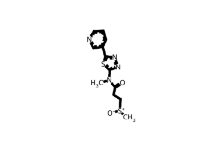 CN(C(=O)CC[S+](C)[O-])c1nnc(-c2cccnc2)s1